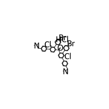 CN(C)Cc1ccc(-c2ccc(C(=O)c3ccc(-c4ccc(CN(C)C)cc4)c(Cl)c3-c3ccc(Br)cc3)c(-c3ccc(Br)cc3)c2Cl)cc1.Cl